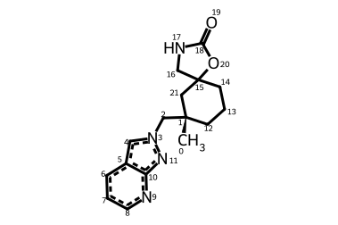 C[C@]1(Cn2cc3cccnc3n2)CCCC2(CNC(=O)O2)C1